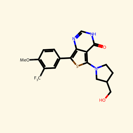 COc1ccc(-c2sc(N3CCC(CO)C3)c3c(=O)[nH]cnc23)cc1C(F)(F)F